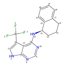 FC(F)(F)c1c[nH]c2ncnc(N[C@@H]3CCCc4ccccc43)c12